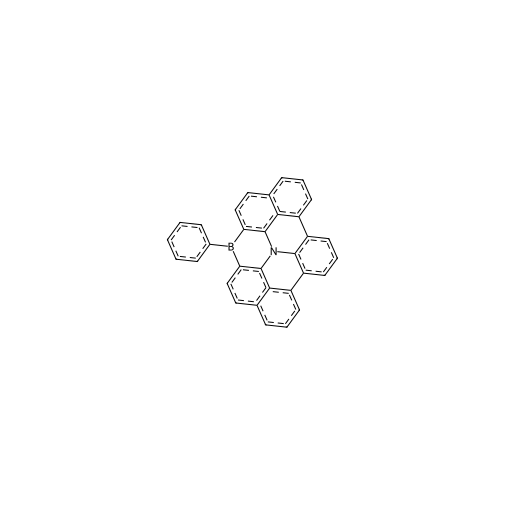 c1ccc(B2c3ccc4cccc5c4c3N3c4c-5cccc4-c4cccc5ccc2c3c45)cc1